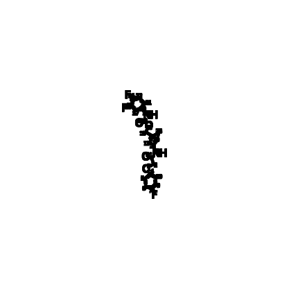 O=C(COc1ccc(F)cc1)NC1CC2(COC(=O)Nc3ccc(F)c(F)c3)CC12